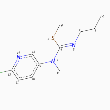 CCCN=C(SC)N(C)c1ccc(Cl)nc1